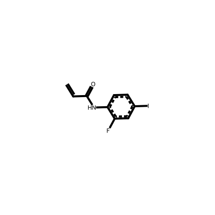 C=CC(=O)Nc1ccc(I)cc1F